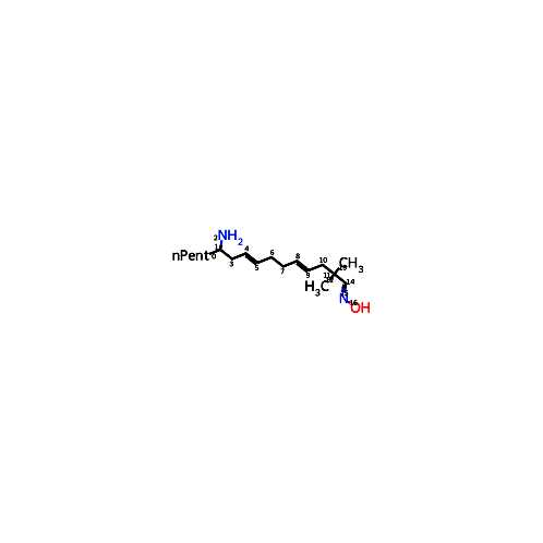 CCCCCC(N)CC=CCCC=CCC(C)(C)C=NO